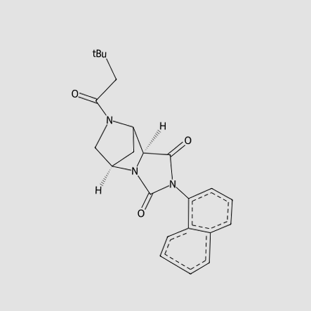 CC(C)(C)CC(=O)N1C[C@H]2CC1[C@H]1C(=O)N(c3cccc4ccccc34)C(=O)N21